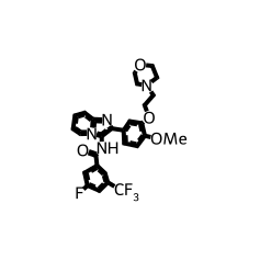 COc1ccc(-c2nc3ccccn3c2NC(=O)c2cc(F)cc(C(F)(F)F)c2)cc1OCCN1CCOCC1